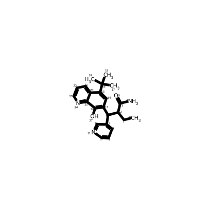 CCC(C(N)=O)C(c1cccnc1)c1cc(C(C)(C)C)c2cccnc2c1O